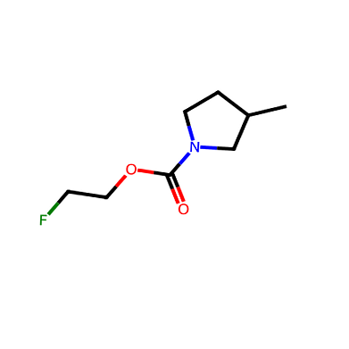 CC1CCN(C(=O)OCCF)C1